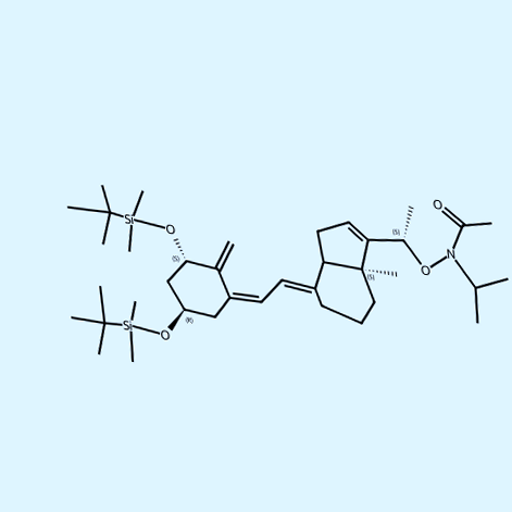 C=C1C(=CC=C2CCC[C@]3(C)C([C@H](C)ON(C(C)=O)C(C)C)=CCC23)C[C@@H](O[Si](C)(C)C(C)(C)C)C[C@@H]1O[Si](C)(C)C(C)(C)C